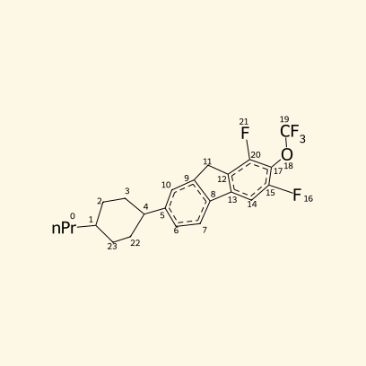 CCCC1CCC(c2ccc3c(c2)Cc2c-3cc(F)c(OC(F)(F)F)c2F)CC1